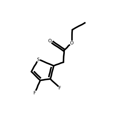 CCOC(=O)Cc1scc(F)c1F